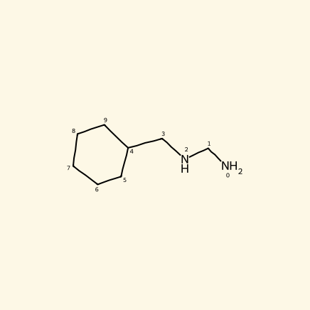 NCNCC1CCCCC1